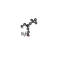 CC1(C)c2ccccc2-c2ccc(-c3ccc(-c4nc(-c5ccc(-c6cc7c8ccccc8c8ccccc8c7c7ccccc67)cc5)cc(-c5cccc(-c6cccnc6)c5)n4)cc3)cc21